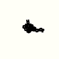 COC(=O)C1=C(C)NC(C)=C(S(=O)(=O)c2ccc(OCCOC(C)C)cc2)C1c1ccccc1Cl